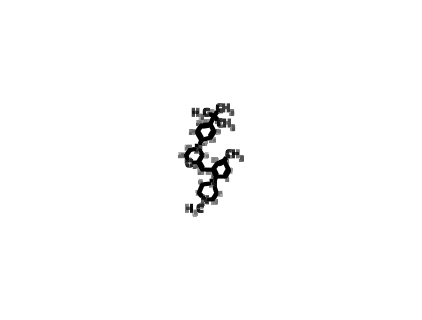 Cc1ccc(N2CCN(C)CC2)c(C=C2CN(c3ccc(C(C)(C)C)cc3)CCO2)c1